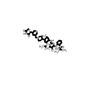 Cc1cc(Nc2ncc(Cl)c(Nc3ccccc3S(=O)(=O)C(C)C)n2)c(OC(C)C)cc1C1CCN(Cc2cncc(C3CCC(=O)NC3=O)c2)CC1